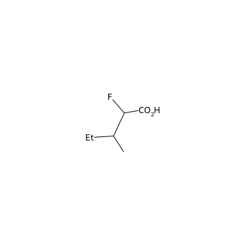 CCC(C)C(F)C(=O)O